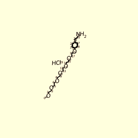 COCCOCCOCCOCCOCCOCCOc1ccc(CCN)cc1.Cl